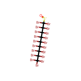 O=[S+]C(Br)(Br)C(Br)(Br)C(Br)(Br)C(Br)(Br)C(Br)(Br)C(Br)(Br)C(Br)(Br)C(Br)(Br)C(Br)(Br)Br